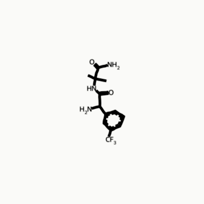 CC(C)(NC(=O)C(N)c1cccc(C(F)(F)F)c1)C(N)=O